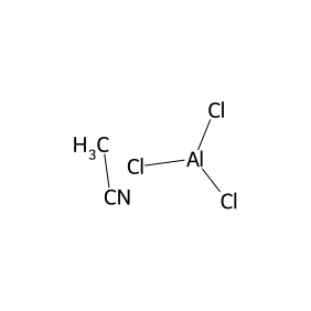 CC#N.[Cl][Al]([Cl])[Cl]